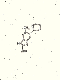 CCCCc1nc2cc(-c3ccccn3)c(C)nc2[nH]1